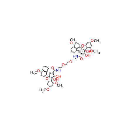 COc1ccc([C@@]23Oc4cc(OC)cc(OC)c4[C@]2(O)[C@H](O)[C@H](C(=O)NCCOCCOCCNC(=O)[C@H]2[C@@H](O)[C@@]4(O)c5c(OC)cc(OC)cc5O[C@@]4(c4ccc(OC)cc4)[C@@H]2c2ccccc2)[C@H]3c2ccccc2)cc1